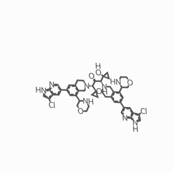 O=C([C@H](N1CCc2cc(-c3cnc4[nH]cc(Cl)c4c3)cc(C3COCCN3)c2C1)C1(O)CC1)[C@H](N1CCc2cc(-c3cnc4[nH]cc(Cl)c4c3)cc(C3COCCN3)c2C1)C1(O)CC1